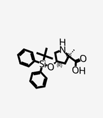 CC(C)(C)[Si](O[C@H]1CN[C@@](C)(C(=O)O)C1)(c1ccccc1)c1ccccc1